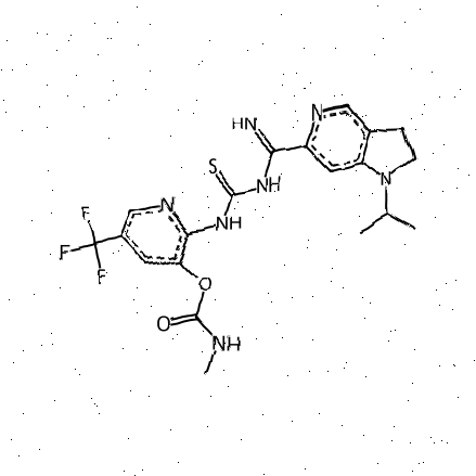 CNC(=O)Oc1cc(C(F)(F)F)cnc1NC(=S)NC(=N)c1cc2c(cn1)CCN2C(C)C